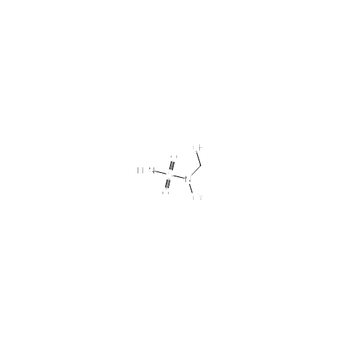 CC(C)N(CC(F)(F)F)S(N)(=O)=O